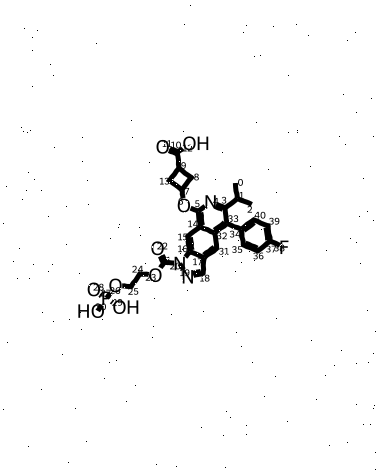 CC(C)c1nc(OC2CC(C(=O)O)C2)c2cc3c(cnn3C(=O)OCCOP(=O)(O)O)cc2c1-c1ccc(F)cc1